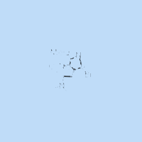 COc1ncc(Br)c(C=CN(C)C)c1[N+](=O)[O-]